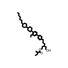 C=C(CC)C(=O)OCCC(CCO)CCCc1ccc(-c2ccc(C3CCC(C4CCC(CCCCCCC)CC4)CC3)c(CC)c2)cc1